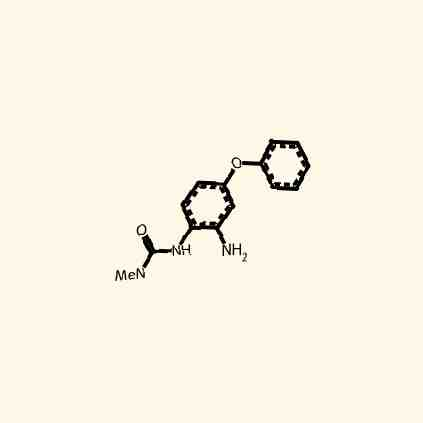 CNC(=O)Nc1ccc(Oc2ccccc2)cc1N